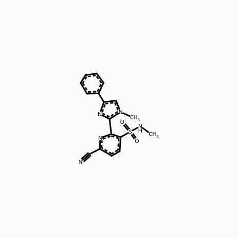 CNS(=O)(=O)c1ccc(C#N)nc1-c1nc(-c2ccccc2)cn1C